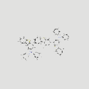 Cc1cc(-c2cc(N(c3ccccc3)c3ccccc3)cc3c2sc2ccccc23)cc2sc3ccc(-c4cc(N(c5ccccc5)C5C=CC=CC5)cc5c4sc4ccccc45)cc3c12